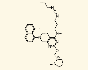 CCCN=C=NCCCN(C)c1nc(OC[C@@H]2CCCN2C)nc2c1CCN(c1cccc3cccc(C)c13)C2